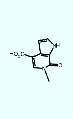 Cn1cc(C(=O)O)c2cc[nH]c2c1=O